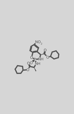 C[C@H](NP1(=O)N[C@H](C(=O)OC2CCCCC2)c2cc([N+](=O)[O-])ccc2O1)C(=O)OC1CCCCC1